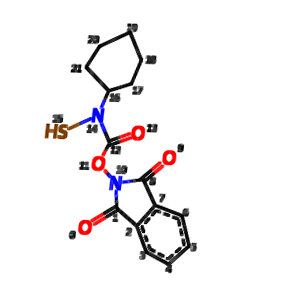 O=C1c2ccccc2C(=O)N1OC(=O)N(S)C1CCCCC1